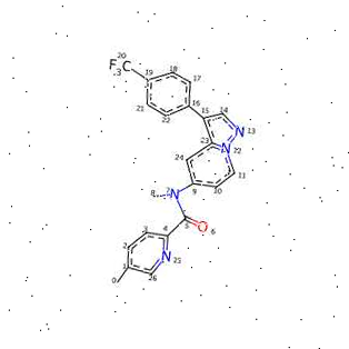 Cc1ccc(C(=O)N(C)c2ccn3ncc(-c4ccc(C(F)(F)F)cc4)c3c2)nc1